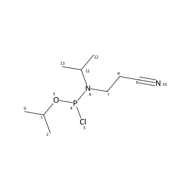 CC(C)OP(Cl)N(CCC#N)C(C)C